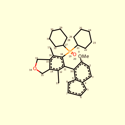 COc1ccc2ccccc2c1-c1c(C)c2c(c(C)c1P(=O)(C1CCCCC1)C1CCCCC1)COC2